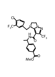 COC(=O)c1ccc(C(C)NC(=O)c2c(C(F)(F)F)nn3c2N(Cc2ccc(Cl)c(C(F)(F)F)c2)CC3)cc1